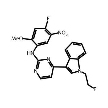 COc1cc(F)c([N+](=O)[O-])cc1Nc1nccc(-c2cn(CCF)c3ccccc23)n1